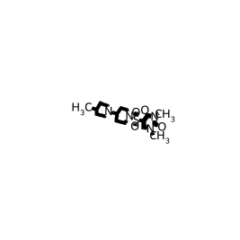 CC1CCN(C2CCN(S(=O)(=O)c3cn(C)c(=O)n(C)c3=O)CC2)CC1